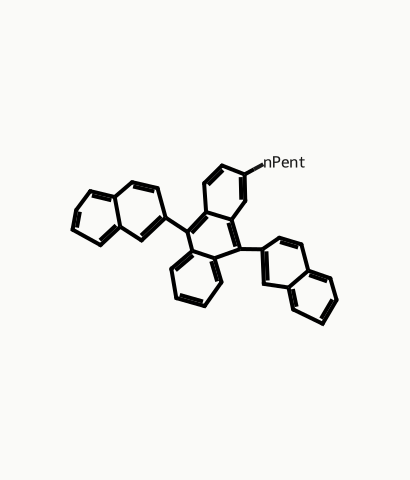 CCCCCc1ccc2c(-c3ccc4ccccc4c3)c3ccccc3c(-c3ccc4ccccc4c3)c2c1